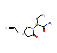 C=CC[C@H]1CC(=O)N([C@@H](CC)C(N)=O)C1